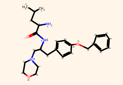 CC(C)CC(N)C(=O)NC(Cc1ccc(OCc2ccccc2)cc1)CN1CCOCC1